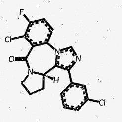 O=C1c2c(ccc(F)c2Cl)-n2cnc(-c3cccc(Cl)c3)c2[C@@H]2CCCN12